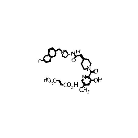 Cc1cnc(C(=O)N2CCC(=CC(=O)N[C@@H]3CCN(Cc4ccc5cc(F)ccc5c4)C3)CC2)c(O)c1.O=C(O)/C=C/C(=O)O